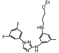 CCOCCCNc1cc(C)cc(Nc2ncn(-c3cc(F)cc(F)c3)n2)c1